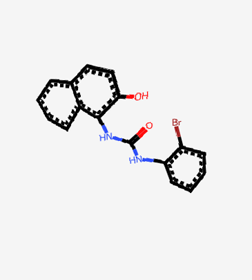 O=C(Nc1ccccc1Br)Nc1c(O)ccc2ccccc12